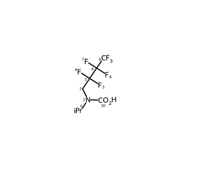 CC(C)N(CC(F)(F)C(F)(F)C(F)(F)F)C(=O)O